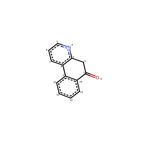 O=C1Cc2ncccc2-c2ccccc21